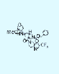 CO[C@@H]1COCC[C@@H]1N[C@@H]1C[C@H]2CN(C(=O)OCc3ccccc3)C[C@@]2(C(=O)N2CCc3ncc(C(F)(F)F)cc3C2)C1